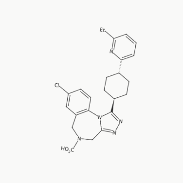 CCc1cccc([C@H]2CC[C@H](c3nnc4n3-c3ccc(Cl)cc3CN(C(=O)O)C4)CC2)n1